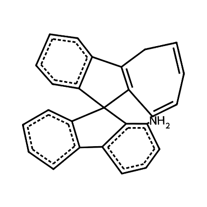 Nc1cccc2c1C1(C3=C(CC=CC=C3)c3ccccc31)c1ccccc1-2